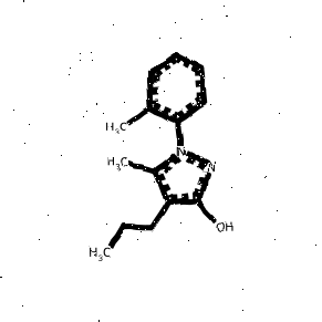 CCCc1c(O)nn(-c2ccccc2C)c1C